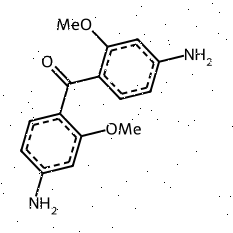 COc1cc(N)ccc1C(=O)c1ccc(N)cc1OC